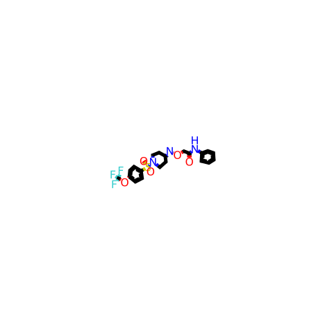 O=C(CON=C1CCN(S(=O)(=O)c2ccc(OC(F)(F)F)cc2)CC1)Nc1ccccc1